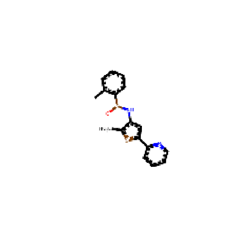 Cc1ccccc1[S+]([O-])Nc1cc(-c2ccccn2)sc1C(=O)O